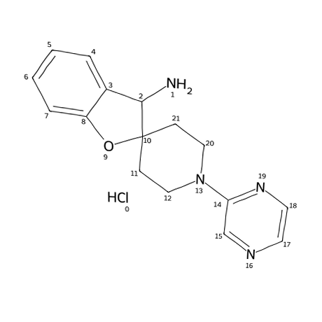 Cl.NC1c2ccccc2OC12CCN(c1cnccn1)CC2